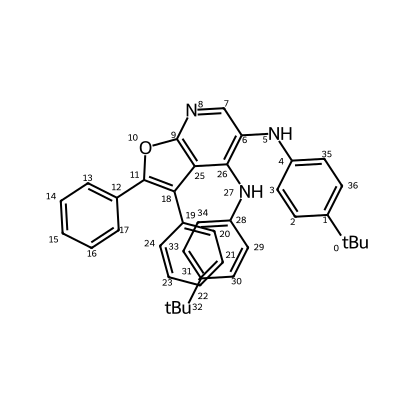 CC(C)(C)c1ccc(Nc2cnc3oc(-c4ccccc4)c(-c4ccccc4)c3c2Nc2ccc(C(C)(C)C)cc2)cc1